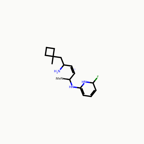 CNC(/C=C\C(N)CC1(C)CCC1)NC1=CC=CC(F)N1